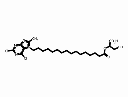 Cc1nc2nc(Cl)nc(Cl)c2n1CCCCCCCCCCCCCCCC(=O)OC(CO)C(=O)O